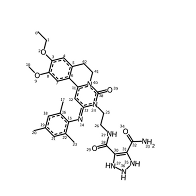 CCOc1cc2c(cc1OC)-c1c/c(=N\c3c(C)cc(C)cc3C)n(CCNC(=O)C3=C(C(N)=O)NNN3)c(=O)n1CC2